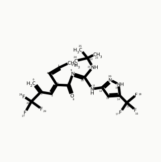 C=C(/C=C(\C=C/C)C(=O)/N=C(\Nc1cc(C(F)(F)F)[nH]n1)NC(C)(C)C)C(F)(F)F